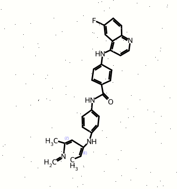 C=N/C(C)=C\C(=C/C)Nc1ccc(NC(=O)c2ccc(Nc3ccnc4ccc(F)cc34)cc2)cc1